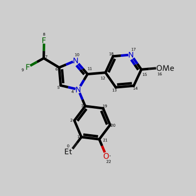 CCc1cc(-n2cc(C(F)F)nc2-c2ccc(OC)nc2)ccc1[O]